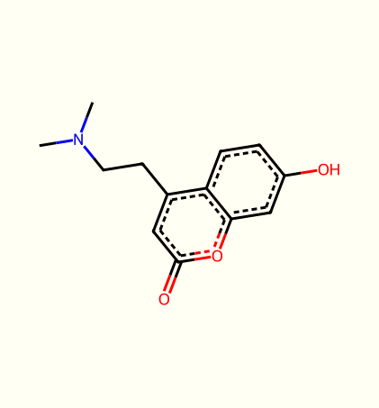 CN(C)CCc1cc(=O)oc2cc(O)ccc12